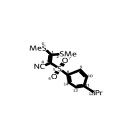 CSC(SC)=C(C#N)S(=O)(=O)c1ccc(C(C)C)cc1